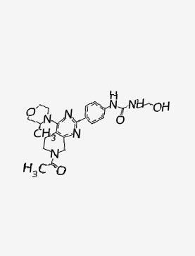 CC(=O)N1CCc2c(nc(-c3ccc(NC(=O)NCCO)cc3)nc2N2CCOC[C@@H]2C)C1